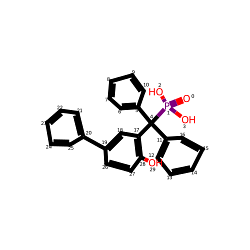 O=P(O)(O)C(c1ccccc1)(c1ccccc1)c1cc(-c2ccccc2)ccc1O